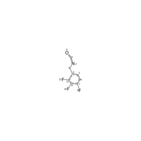 O=C=NCc1ccc(F)c(F)c1F